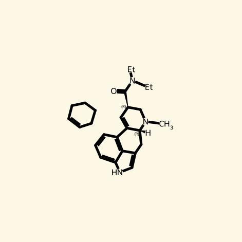 C1=CCCCC1.CCN(CC)C(=O)[C@@H]1C=C2c3cccc4[nH]cc(c34)C[C@H]2N(C)C1